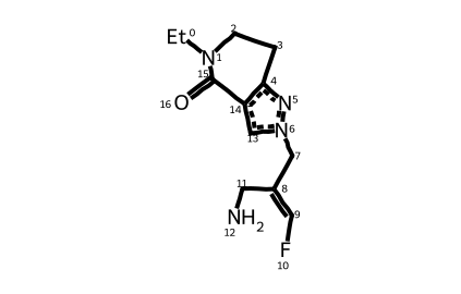 CCN1CCc2nn(CC(=CF)CN)cc2C1=O